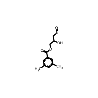 Cc1cc(C)cc(C(=O)OCC(O)CN=O)c1